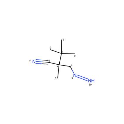 CC(C)(C)C(C)(C#N)CN=N